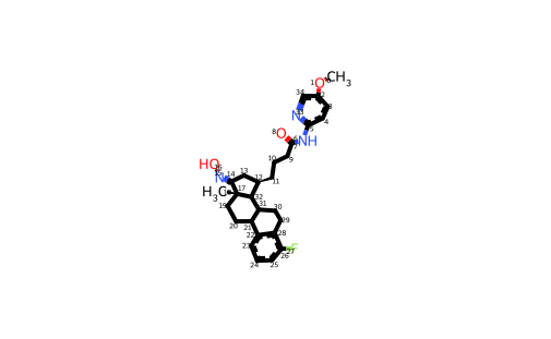 COc1ccc(NC(=O)CCC[C@@H]2C/C(=N\O)[C@@]3(C)CCC4c5cccc(F)c5CCC4C23)nc1